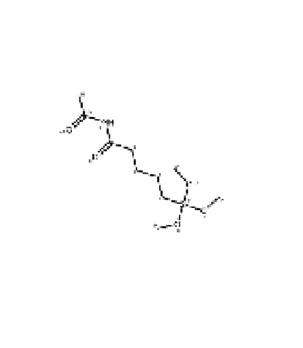 CO[Si](CCCCC(=O)NC(C)=O)(OC)OC